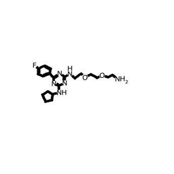 NCCOCCOCCNc1nc(NC2CCCC2)nc(-c2ccc(F)cc2)n1